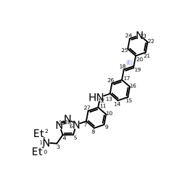 CCN(CC)Cc1cn(-c2cccc(Nc3cccc(/C=C/c4ccncc4)c3)c2)nn1